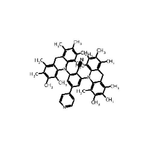 Cc1c(C)c(C)c2c(c1C)Cc1c(C)c(C)c(C)c(C)c1N2c1cc(-c2ccncc2)cc(N2c3c(C)c(C)c(C)c(C)c3Cc3c(C)c(C)c(C)c(C)c32)c1C#N